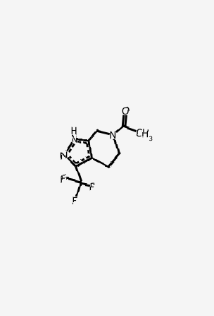 CC(=O)N1CCc2c(C(F)(F)F)n[nH]c2C1